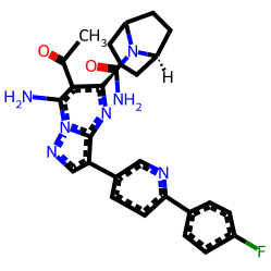 CC(=O)c1c([C@H]2CC3CC[C@@H](C2)N3C(N)=O)nc2c(-c3ccc(-c4ccc(F)cc4)nc3)cnn2c1N